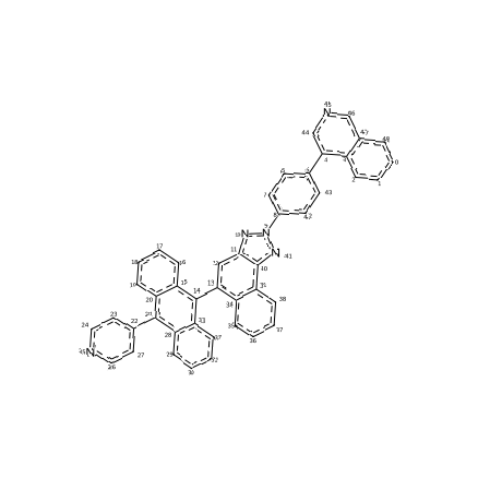 c1ccc2c(-c3ccc(-n4nc5cc(-c6c7ccccc7c(-c7ccncc7)c7ccccc67)c6ccccc6c5n4)cc3)cncc2c1